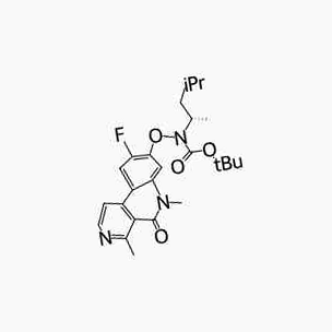 Cc1nccc2c1c(=O)n(C)c1cc(ON(C(=O)OC(C)(C)C)[C@@H](C)CC(C)C)c(F)cc21